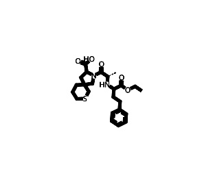 CCOC(=O)C(CCc1ccccc1)N[C@@H](C)C(=O)N1CC2(CCCSC2)CC1C(=O)O